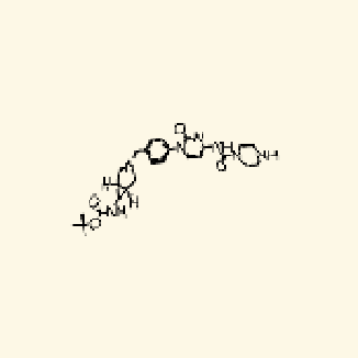 CC(C)(C)OC(=O)N[C@H]1[C@@H]2CN(Cc3ccc(-n4ccc(NC(=O)N5CCNCC5)nc4=O)cc3)C[C@@H]21